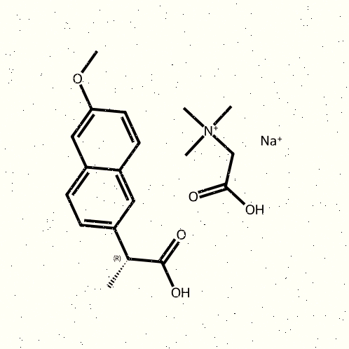 COc1ccc2cc([C@@H](C)C(=O)O)ccc2c1.C[N+](C)(C)CC(=O)O.[Na+]